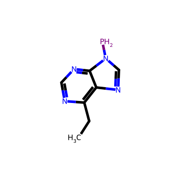 CCc1ncnc2c1ncn2P